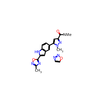 CNC(=O)c1cc(-c2ccc3[nH]c(-c4nc(C)no4)cc3c2)n(C)n1.c1conn1